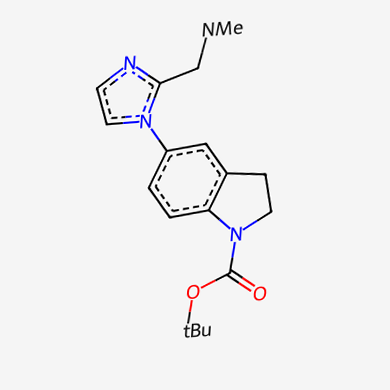 CNCc1nccn1-c1ccc2c(c1)CCN2C(=O)OC(C)(C)C